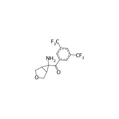 NC1(C(=O)c2cc(C(F)(F)F)cc(C(F)(F)F)c2)C2COCC21